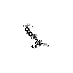 C=CC1CC1(C(=O)OC)C(=O)OCCOC(=O)NC1CCC(CC2CCC(NC)CC2)CC1